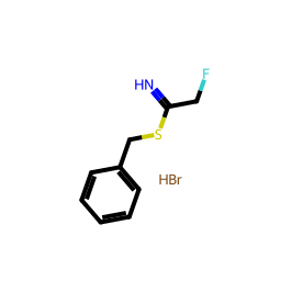 Br.N=C(CF)SCc1ccccc1